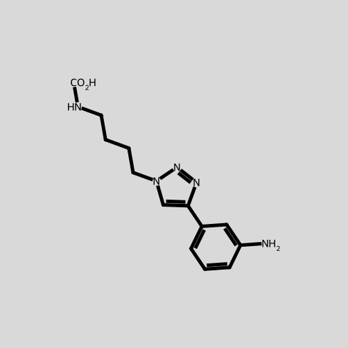 Nc1cccc(-c2cn(CCCCNC(=O)O)nn2)c1